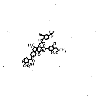 Cc1ncnc(C(=O)N2CCC3(CC2)CC(C)c2c3c(=O)n3nc(-c4ccc(CN(C)C)c(Cl)c4)nc3n2CC(=O)Nc2ccc(C(F)(F)F)cc2Br)c1O